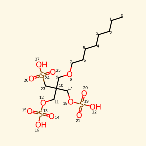 CCCCCCCCOCC(COS(=O)(=O)O)(COS(=O)(=O)O)CS(=O)(=O)O